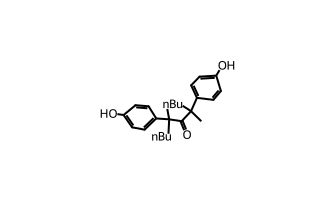 CCCCC(C)(C(=O)C(C)(CCCC)c1ccc(O)cc1)c1ccc(O)cc1